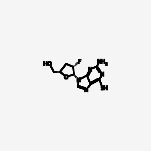 Nc1nc(S)c2ncn([C@@H]3O[C@H](CO)C[C@@H]3F)c2n1